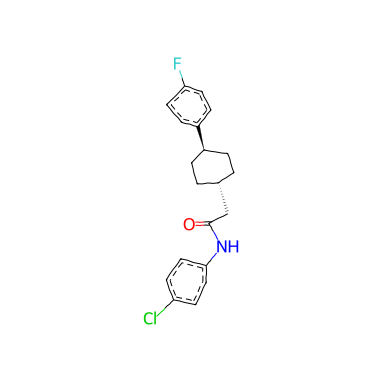 O=C(C[C@H]1CC[C@H](c2ccc(F)cc2)CC1)Nc1ccc(Cl)cc1